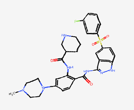 CN1CCN(c2ccc(C(=O)Nc3n[nH]c4ccc(S(=O)(=O)c5cccc(F)c5)cc34)c(NC(=O)C3CCCNC3)c2)CC1